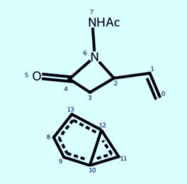 C=CC1CC(=O)N1NC(C)=O.c1cc2cc-2c1